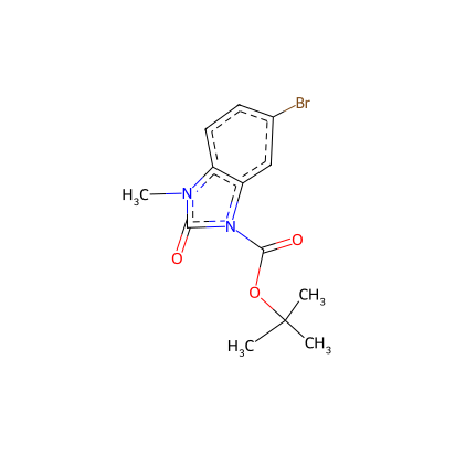 Cn1c(=O)n(C(=O)OC(C)(C)C)c2cc(Br)ccc21